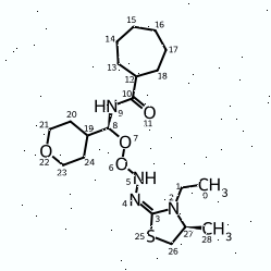 CCN1C(=NNOO[C@H](NC(=O)C2CCCCCC2)C2CCOCC2)SC[C@@H]1C